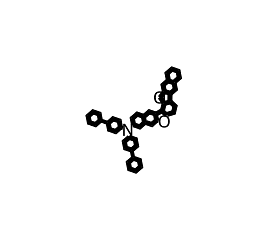 c1ccc(-c2ccc(N(c3ccc(-c4ccccc4)cc3)c3ccc4cc5c(cc4c3)oc3ccc4c6cc7ccccc7cc6oc4c35)cc2)cc1